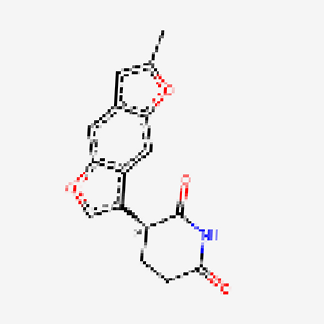 Cc1cc2cc3occ([C@@H]4CCC(=O)NC4=O)c3cc2o1